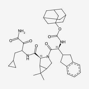 CC1(C)C2CN(C(=O)[C@@H](NC(=O)OC34CC5CC(CC(C5)C3)C4)C3Cc4ccccc4C3)[C@H](C(=O)NC(CC3CC3)C(=O)C(N)=O)C21